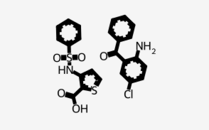 Nc1ccc(Cl)cc1C(=O)c1ccccc1.O=C(O)c1sccc1NS(=O)(=O)c1ccccc1